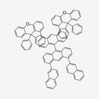 c1ccc(C2(c3ccccc3)c3ccccc3Oc3cccc(-c4cccc5c(-c6c7cccc(-c8ccc9ccccc9c8)c7cc7c(-c8ccc9ccccc9c8)cccc67)c6cccc(-c7cccc8c7C(c7ccccc7)(c7ccccc7)c7ccccc7O8)c6cc45)c32)cc1